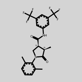 Cc1cccc(C)c1N1C[C@@H](C(=O)Nc2cc(C(F)(F)F)cc(C(F)(F)F)c2)[C@@H](C)C1=O